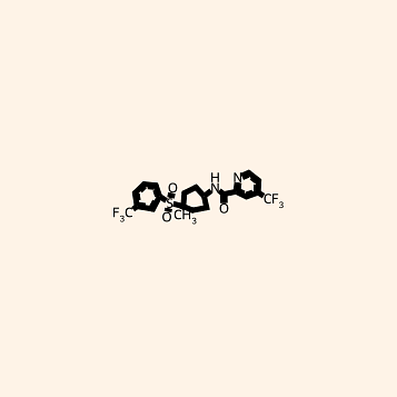 CC1(S(=O)(=O)c2cccc(C(F)(F)F)c2)CCC(NC(=O)c2cc(C(F)(F)F)ccn2)CC1